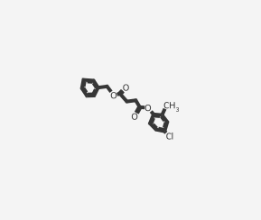 Cc1cc(Cl)ccc1OC(=O)CCC(=O)OCc1ccccc1